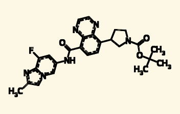 Cc1cn2cc(NC(=O)c3ccc(C4CCN(C(=O)OC(C)(C)C)C4)c4nccnc34)cc(F)c2n1